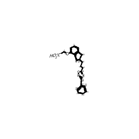 O=C(O)COc1cccc2c1CC(CCCc1nc(-c3ccccc3)no1)C2